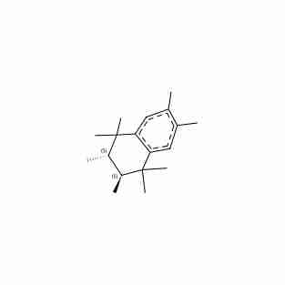 Cc1cc2c(cc1C)C(C)(C)[C@@H](C)[C@H](C)C2(C)C